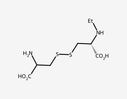 CCN[C@@H](CSSCC(N)C(=O)O)C(=O)O